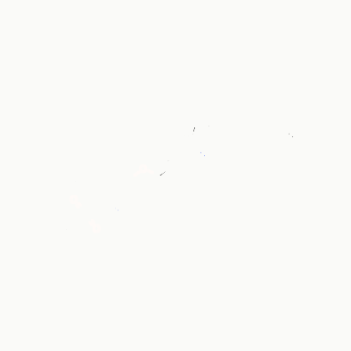 Cc1cc(OC[C@H]2C[C@@H](C)N(CCc3cccc(C#N)c3)C2)cnc1S(C)(=O)=O